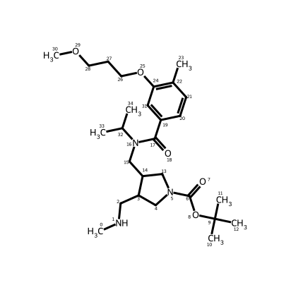 CNCC1CN(C(=O)OC(C)(C)C)CC1CN(C(=O)c1ccc(C)c(OCCCOC)c1)C(C)C